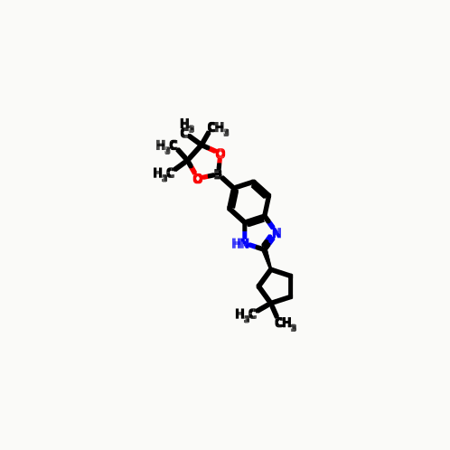 CC1(C)CC[C@H](c2nc3ccc(B4OC(C)(C)C(C)(C)O4)cc3[nH]2)C1